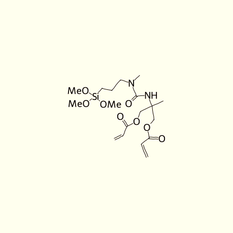 C=CC(=O)OCC(C)(COC(=O)C=C)NC(=O)N(C)CCC[Si](OC)(OC)OC